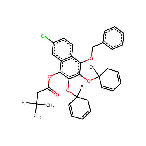 CCC(C)(C)CC(=O)Oc1c(OC2(CC)C=CC=CC2)c(OC2(CC)C=CC=CC2)c(OCc2ccccc2)c2ccc(Cl)cc12